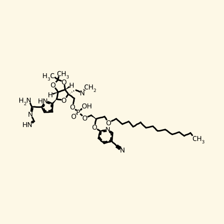 C=NC[C@]1(COP(=O)(O)OC[C@@H](COCCCCCCCCCCCCCC)Oc2ccc(C#N)cn2)O[C@@H](c2ccc(/C(N)=N\C=N)[nH]2)[C@@H]2OC(C)(C)O[C@@H]21